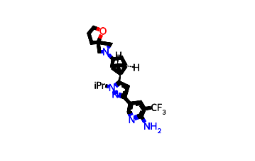 CC(C)n1nc(-c2cnc(N)c(C(F)(F)F)c2)cc1[C@]12C3C(N4CC5(CCCO5)C4)C[C@@H]1[C@H]32